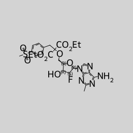 CCOC(=O)C(Cc1ccc(S(C)(=O)=O)cc1)(OC[C@H]1O[C@@H](n2cnc3c(N)nc(C)nc32)[C@@H](F)[C@@H]1O)C(=O)OCC